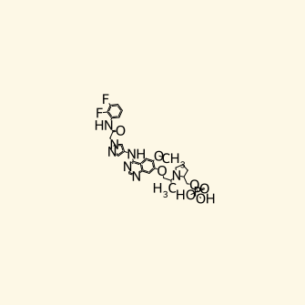 COc1cc2c(Nc3cnn(CC(=O)Nc4cccc(F)c4F)c3)ncnc2cc1OCC(C)N1CCCC1COP(=O)(O)O